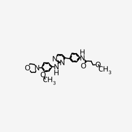 COCCC(=O)Nc1ccc(-c2ccnc(Nc3ccc(N4CCOCC4)c(OC)c3)n2)cc1